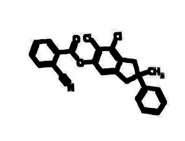 CC1(c2ccccc2)Cc2cc(OC(=O)c3ccccc3C#N)c(Cl)c(Cl)c2C1